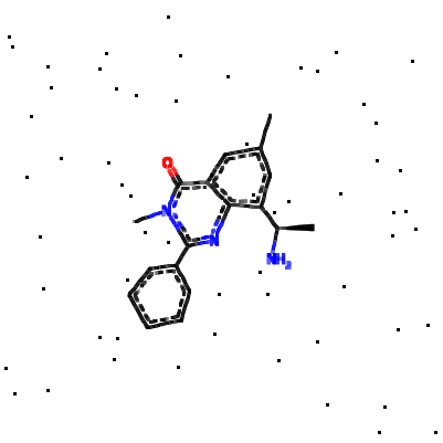 Cc1cc([C@@H](C)N)c2nc(-c3ccccc3)n(C)c(=O)c2c1